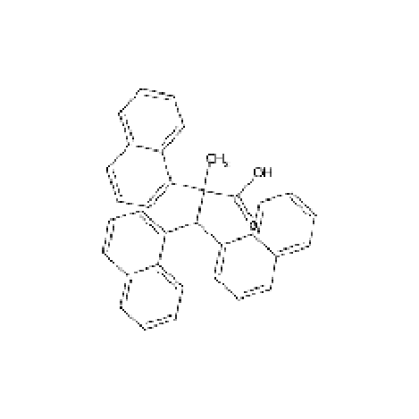 CC(C(=O)O)(c1cccc2ccccc12)C(c1cccc2ccccc12)c1cccc2ccccc12